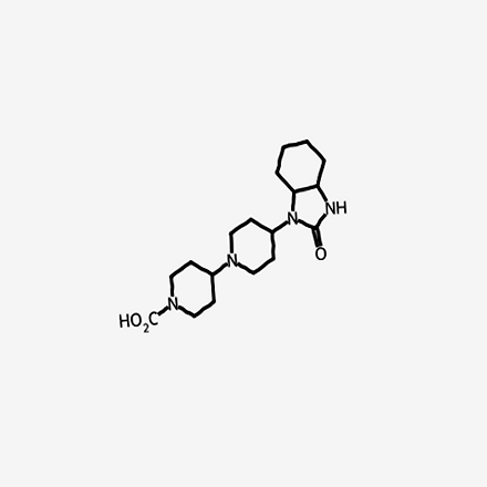 O=C(O)N1CCC(N2CCC(N3C(=O)NC4CCCCC43)CC2)CC1